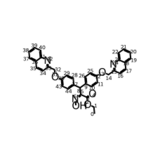 CCOC(=O)/C(=N\O)C(c1ccc(OCc2ccc3ccccc3n2)cc1)c1ccc(OCc2ccc3ccccc3n2)cc1